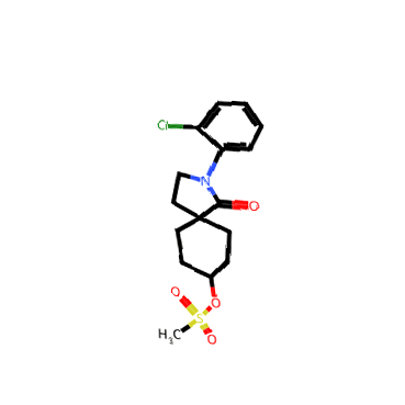 CS(=O)(=O)OC1CCC2(CC1)CCN(c1ccccc1Cl)C2=O